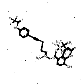 CN(CCCC#Cc1ccc(NC(=O)C(F)(F)F)cc1)C[C@H](O[Si](C)(C)C(C)(C)C)c1ccc(O)c2[nH]c(=O)ccc12